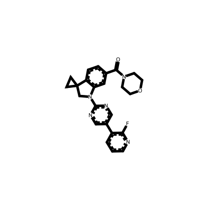 O=C(c1ccc2c(c1)N(c1ncc(-c3cccnc3F)cn1)CC21CC1)N1CCOCC1